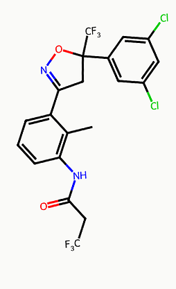 Cc1c(NC(=O)CC(F)(F)F)cccc1C1=NOC(c2cc(Cl)cc(Cl)c2)(C(F)(F)F)C1